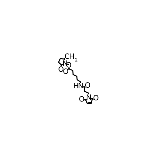 C=C1CCC(=O)N1OC(=O)CCCCCNC(=O)CCN1C(=O)C=CC1=O